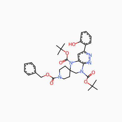 CC(C)(C)OC(=O)N1CC2(CCN(C(=O)OCc3ccccc3)CC2)N(C(=O)OC(C)(C)C)c2cc(-c3ccccc3O)nnc21